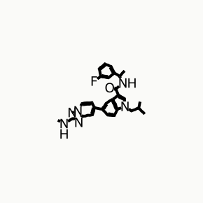 CNc1nc2cc(-c3ccc4c(c3)c(C(=O)NC(C)c3cccc(F)c3)cn4CC(C)C)ccn2n1